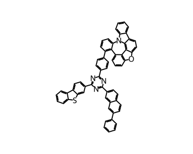 c1ccc(-c2ccc3ccc(-c4nc(-c5ccc(-c6cccc7c6c6cccc8oc9ccc%10c%11ccccc%11n7c%10c9c86)cc5)nc(-c5ccc6c(c5)sc5ccccc56)n4)cc3c2)cc1